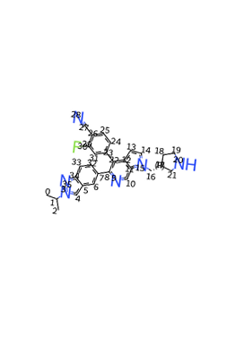 CC(C)n1cc2cc(-c3ncc4c(ccn4C[C@@H]4CCNC4)c3-c3ccc(C#N)c(F)c3)ccc2n1